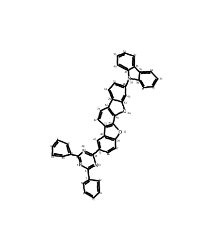 c1ccc(-c2nc(-c3ccccc3)nc(-c3ccc4oc5c(ccc6c7ccc(-n8c9ccccc9c9ccccc98)cc7oc65)c4c3)n2)cc1